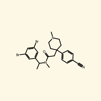 CC(c1cc(Br)cc(Br)c1)N(C)C(=O)CC1(c2ccc(C#N)cc2)CCN(C)CC1